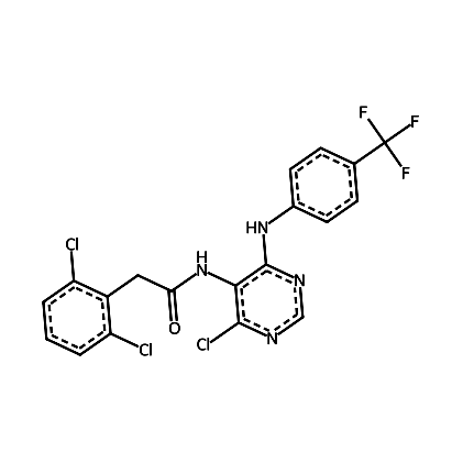 O=C(Cc1c(Cl)cccc1Cl)Nc1c(Cl)ncnc1Nc1ccc(C(F)(F)F)cc1